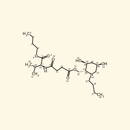 CCCCOC(=O)[C@@H](NC(=O)CCC(=O)OC[C@@H]1[C@@H](O)C[C@@H](O)CN1CCCC)C(C)C